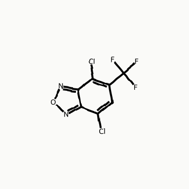 FC(F)(F)c1cc(Cl)c2nonc2c1Cl